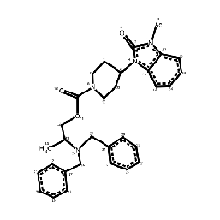 CC(=O)n1c(=O)n(C2CCN(C(=O)OCC(C)N(Cc3ccccc3)Cc3ccccc3)CC2)c2ccccc21